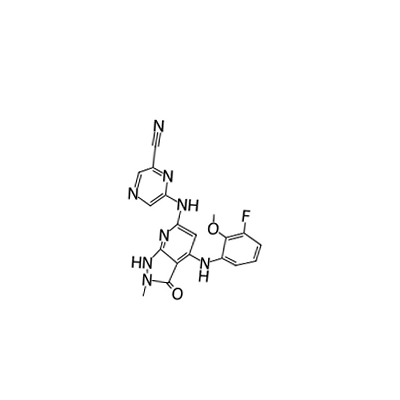 COc1c(F)cccc1Nc1cc(Nc2cncc(C#N)n2)nc2[nH]n(C)c(=O)c12